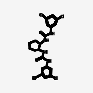 O=C(Nc1cc(Cl)cc(Cl)c1)NC1CCCCC1NC(=O)Nc1cc(Cl)cc(Cl)c1